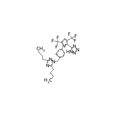 CCCCc1nc(CCCC)n(Cc2ccc(-n3c(C(F)(F)F)cc(C(F)(F)F)c3-c3nnn[nH]3)cc2)n1